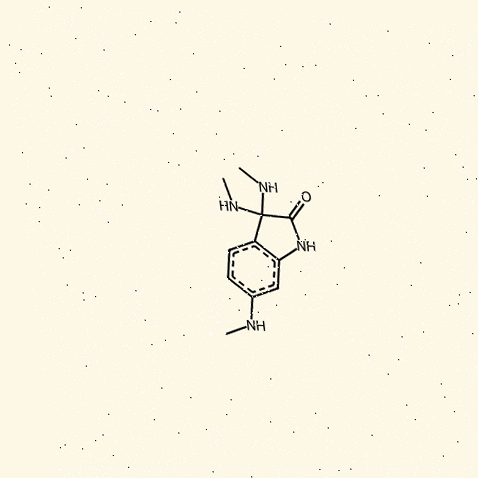 CNc1ccc2c(c1)NC(=O)C2(NC)NC